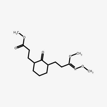 CON=C(CCC1CCCC(CCC(=O)OC)C1=O)OC